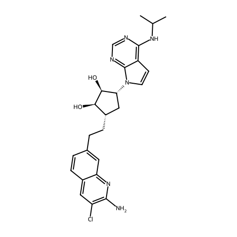 CC(C)Nc1ncnc2c1ccn2[C@@H]1C[C@H](CCc2ccc3cc(Cl)c(N)nc3c2)[C@@H](O)[C@H]1O